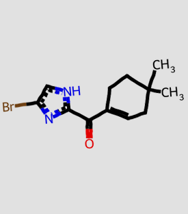 CC1(C)CC=C(C(=O)c2nc(Br)c[nH]2)CC1